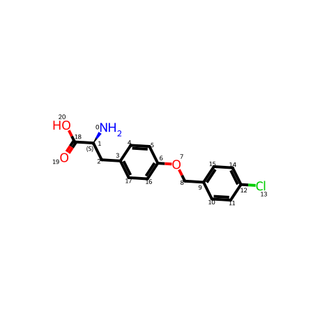 N[C@@H](Cc1ccc(OCc2ccc(Cl)cc2)cc1)C(=O)O